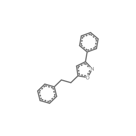 c1ccc(CCc2cc(-c3ccccc3)no2)cc1